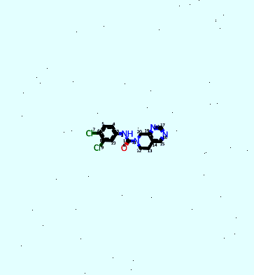 O=C(Nc1ccc(Cl)c(Cl)c1)N1CCc2cncnc2C1